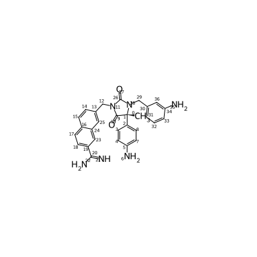 C[C@@]1(c2ccc(N)cc2)C(=O)N(Cc2ccc3ccc(C(=N)N)cc3c2)C(=O)N1Cc1cccc(N)c1